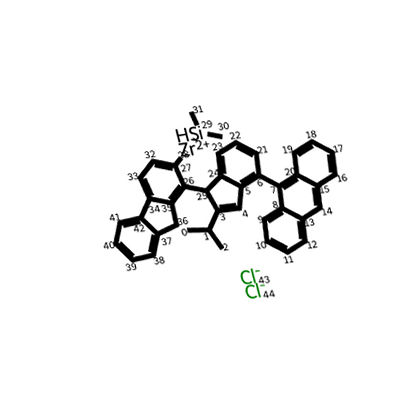 CC(C)C1=Cc2c(-c3c4ccccc4cc4ccccc34)cccc2C1c1[c]([Zr+2][SiH](C)C)ccc2c1Cc1ccccc1-2.[Cl-].[Cl-]